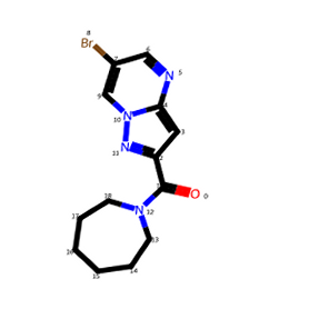 O=C(c1cc2ncc(Br)cn2n1)N1CCCCCC1